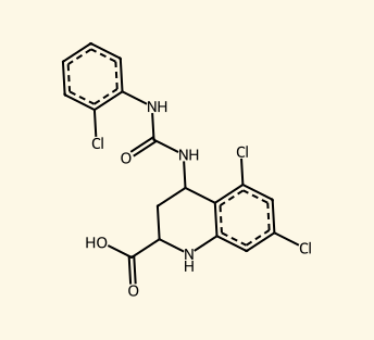 O=C(Nc1ccccc1Cl)NC1CC(C(=O)O)Nc2cc(Cl)cc(Cl)c21